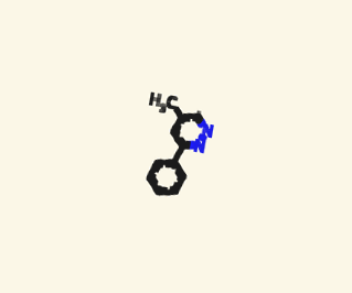 Cc1[c]nnc(-c2ccccc2)c1